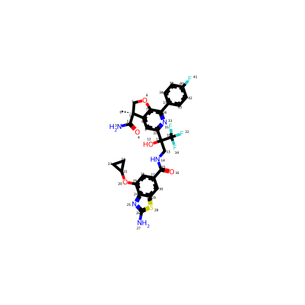 C[C@]1(C(N)=O)COc2c1cc(C(O)(CNC(=O)c1cc(OC3CC3)c3nc(N)sc3c1)C(F)(F)F)nc2-c1ccc(F)cc1